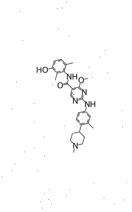 COc1nc(Nc2ccc(C3CCN(C)CC3)c(C)c2)ncc1C(=O)Nc1c(C)ccc(O)c1C